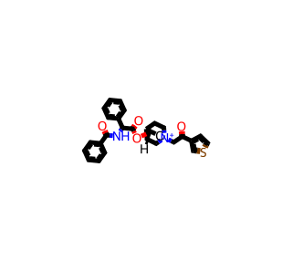 O=C(C[N+]12CCC(CC1)[C@@H](OC(=O)C(NC(=O)c1ccccc1)c1ccccc1)C2)c1ccsc1